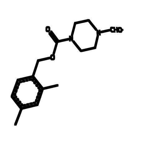 Cc1ccc(COC(=O)N2CCN([C]=O)CC2)c(C)c1